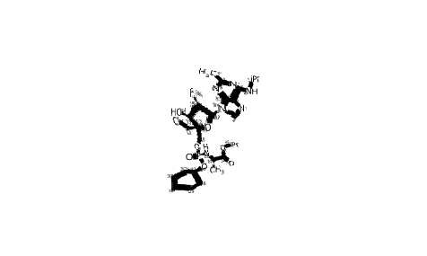 Cc1nc(NC(C)C)c2ncn([C@@H]3O[C@](CCl)(CO[P@](=O)(N[C@@H](C)C(=O)OC(C)C)Oc4ccccc4)[C@@H](O)[C@@H]3F)c2n1